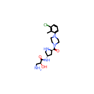 Cc1c(Cl)cccc1N1CCN(C(=O)[C@H]2C[C@H](NC(=O)[C@@H](O)CN)CN2)CC1